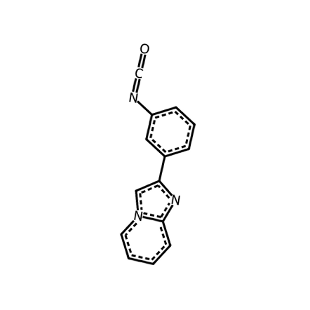 O=C=Nc1cccc(-c2cn3ccccc3n2)c1